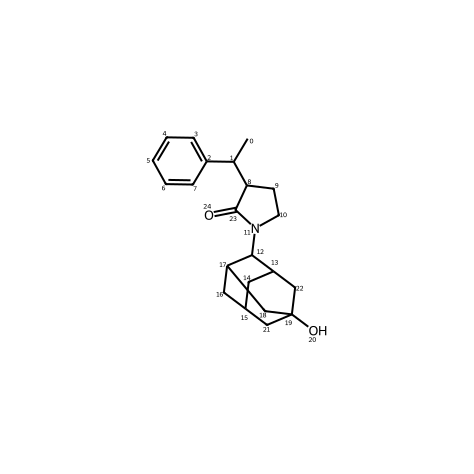 CC(c1ccccc1)C1CCN(C2C3CC4CC2CC(O)(C4)C3)C1=O